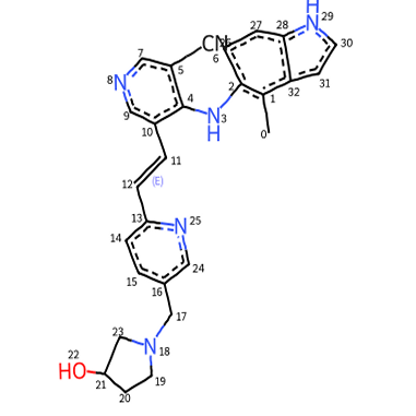 Cc1c(Nc2c(C#N)cncc2/C=C/c2ccc(CN3CCC(O)C3)cn2)ccc2[nH]ccc12